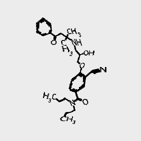 CCCN(CCC)C(=O)c1ccc(OC[C@H](O)CNC(C)(C)CC(=O)c2ccccc2)c(C#N)c1